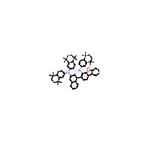 CC1(C)CCC(C)(C)c2cc(N3B4c5cc6c(cc5N(c5ccc7c(c5)C(C)(C)CCC7(C)C)c5cc7ccccc7c(c54)-c4ccc5c(oc7ccccc75)c43)C(C)(C)CCC6(C)C)ccc21